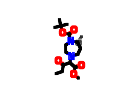 CCC(=O)C(C(=O)OC)N1CC[C@@H](C)N(C(=O)OC(C)(C)C)CC1